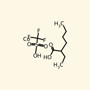 CCCCC(CC)C(=O)O.O=S(=O)(O)C(F)(F)F.[Co]